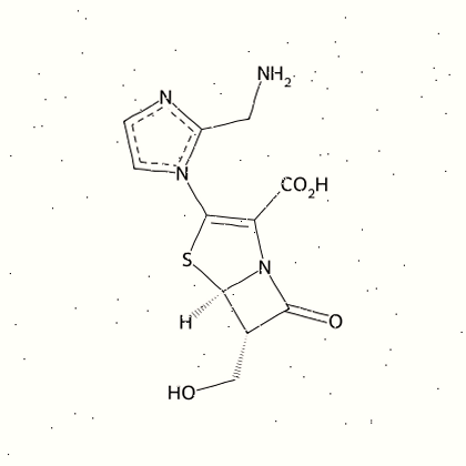 NCc1nccn1C1=C(C(=O)O)N2C(=O)[C@H](CO)[C@H]2S1